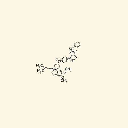 COc1cc2c(cc1OC)[C@]1(CC[C@H](C(=O)N3CCN(c4ncnc5c4cnn5Cc4ccccc4Cl)CC3)CC1)N(CCCN(C)C)CC2